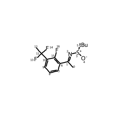 CC(=N[S@+]([O-])C(C)(C)C)c1cccc(C(C)(F)F)c1F